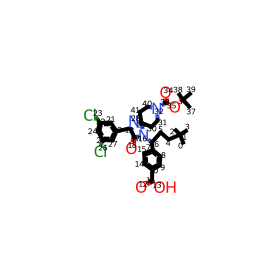 CC(C)(C)CCC(c1ccc(C(=O)O)cc1)N1C(=O)C(c2cc(Cl)cc(Cl)c2)=NC12CCN(C(=O)OC(C)(C)C)CC2